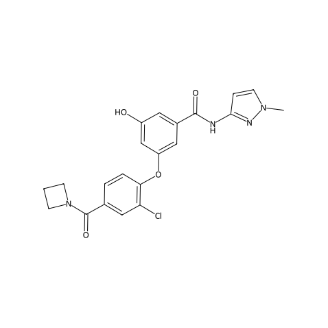 Cn1ccc(NC(=O)c2cc(O)cc(Oc3ccc(C(=O)N4CCC4)cc3Cl)c2)n1